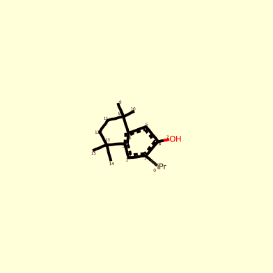 CC(C)c1cc2c(cc1O)C(C)(C)CCC2(C)C